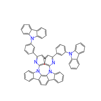 c1cc(-c2cccc(-n3c4ccccc4c4ccc5c6ccccc6n(-c6cccc(-c7cccc(-n8c9ccccc9c9ccccc98)c7)n6)c5c43)n2)cc(-n2c3ccccc3c3ccccc32)c1